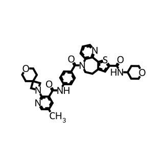 Cc1cnc(N2CC3(CCOCC3)C2)c(C(=O)Nc2ccc(C(=O)N3CCc4cc(C(=O)NC5CCOCC5)sc4-c4ncccc43)cc2)c1